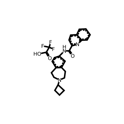 O=C(Nc1ccc2c(c1)CCN(C1CCC1)CC2)c1ccc2ccccc2n1.O=C(O)C(F)(F)F